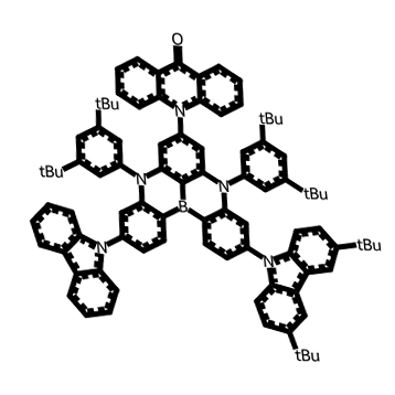 CC(C)(C)c1cc(N2c3cc(-n4c5ccccc5c5ccccc54)ccc3B3c4ccc(-n5c6ccc(C(C)(C)C)cc6c6cc(C(C)(C)C)ccc65)cc4N(c4cc(C(C)(C)C)cc(C(C)(C)C)c4)c4cc(-n5c6ccccc6c(=O)c6ccccc65)cc2c43)cc(C(C)(C)C)c1